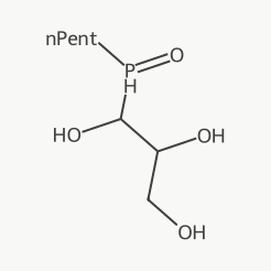 CCCCC[PH](=O)C(O)C(O)CO